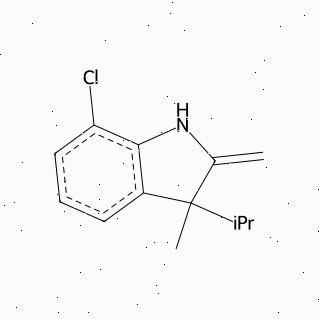 C=C1Nc2c(Cl)cccc2C1(C)C(C)C